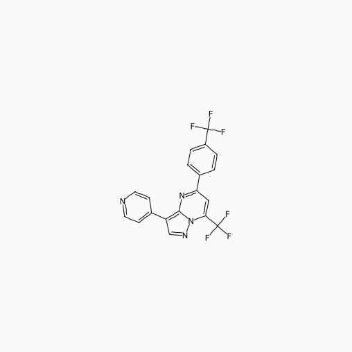 FC(F)(F)c1ccc(-c2cc(C(F)(F)F)n3ncc(-c4ccncc4)c3n2)cc1